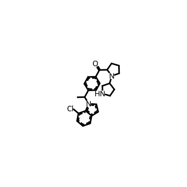 CC(c1ccc(C(=O)C2CCCN2C2CCNC2)cc1)n1ccc2cccc(Cl)c21